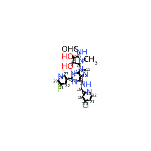 CN1[C@H](NC=O)[C@@H](O)[C@@H](O)[C@@H]1n1cnc2c(NCc3cc(Cl)ccn3)nc(-c3cncc(F)c3)nc21